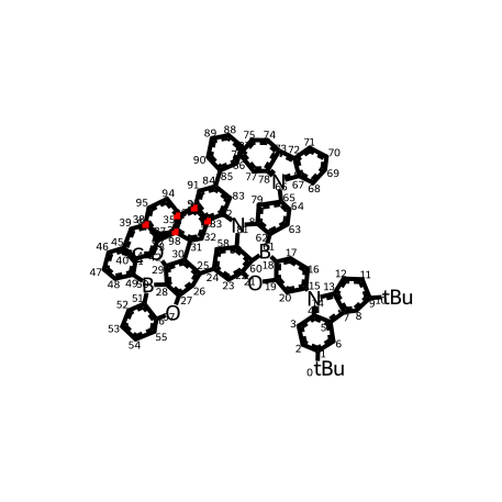 CC(C)(C)c1ccc2c(c1)c1cc(C(C)(C)C)ccc1n2-c1ccc2c(c1)Oc1cc(-c3cc4c5c(c3-c3ccccc3-c3ccccc3)Oc3ccccc3B5c3ccccc3O4)cc3c1B2c1ccc(-n2c4ccccc4c4ccccc42)cc1N3c1cc(-c2ccccc2)cc(-c2ccccc2)c1